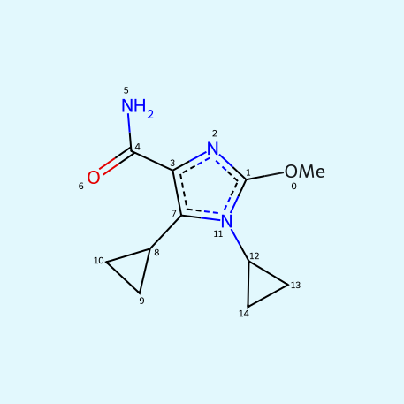 COc1nc(C(N)=O)c(C2CC2)n1C1CC1